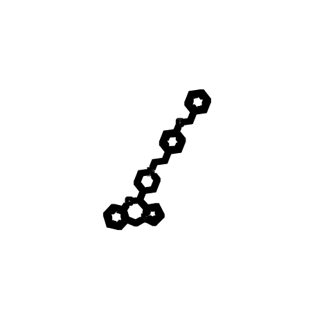 c1ccc(COc2ccc(CCN3CCC(C4Oc5ccccc5Cn5cccc54)CC3)cc2)cc1